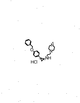 CN1CCN(CCN[C@@H]2C[C@H]2c2ccc(OCc3ccccc3)cc2)CC1.Cl